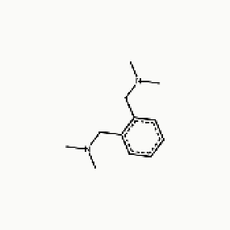 CN(C)Cc1ccccc1CN(C)C